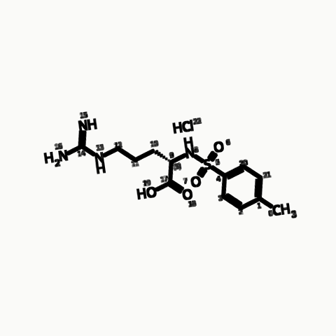 Cc1ccc(S(=O)(=O)N[C@@H](CCCNC(=N)N)C(=O)O)cc1.Cl